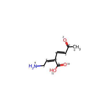 CC(=O)/C=C/C(=C/CN)C(=O)O